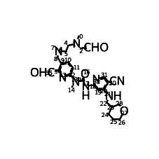 CN(CC=O)CCN(C)Cc1ccc(N(C)C(=O)Nc2cc(NCC3CCCOC3)c(C#N)cn2)nc1C=O